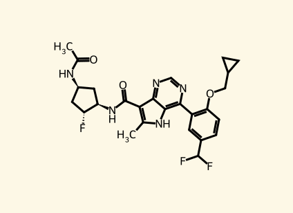 CC(=O)N[C@@H]1C[C@@H](F)[C@H](NC(=O)c2c(C)[nH]c3c(-c4cc(C(F)F)ccc4OCC4CC4)ncnc23)C1